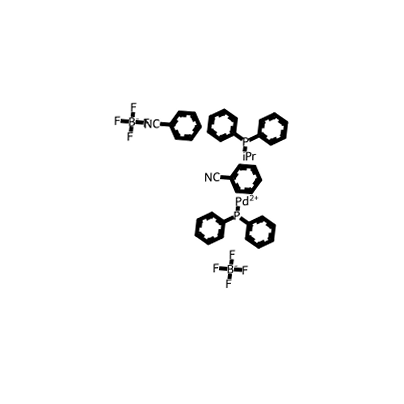 CC(C)P(c1ccccc1)c1ccccc1.F[B-](F)(F)F.F[B-](F)(F)F.N#Cc1ccccc1.N#Cc1ccccc1.[Pd+2][P](c1ccccc1)c1ccccc1